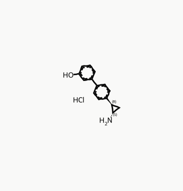 Cl.N[C@H]1C[C@@H]1c1ccc(-c2cccc(O)c2)cc1